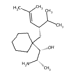 CC(C)=C[C@@H](CC1([C@H](O)[C@H](C)N)CCCCC1)C(C)C